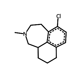 CN1CCc2c(Cl)ccc3c2C(CCC3)C1